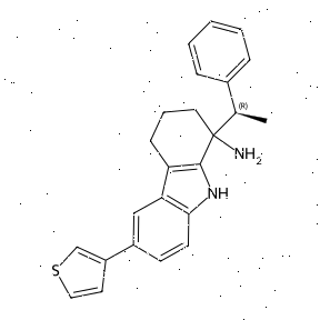 C[C@H](c1ccccc1)C1(N)CCCc2c1[nH]c1ccc(-c3ccsc3)cc21